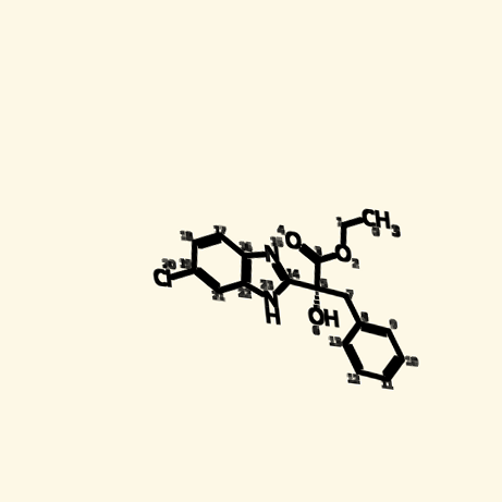 CCOC(=O)[C@@](O)(Cc1ccccc1)c1nc2ccc(Cl)cc2[nH]1